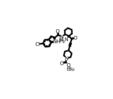 CC(C)(C)OC(=O)N1CCC(C#CC(=O)C2(N)CCCCC2NC(=O)c2cc3cc(Cl)ccc3[nH]2)CC1